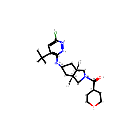 CC(C)(C)c1cc(Cl)nnc1N[C@H]1C[C@@H]2CN(C(=O)C3CCOCC3)C[C@@H]2C1